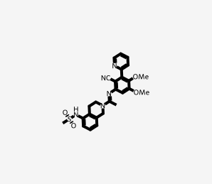 COc1cc(N=C(C)N2CCc3c(cccc3NS(C)(=O)=O)C2)c(C#N)c(-c2ccccn2)c1OC